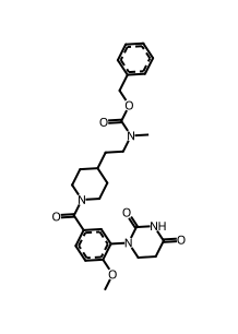 COc1ccc(C(=O)N2CCC(CCN(C)C(=O)OCc3ccccc3)CC2)cc1N1CCC(=O)NC1=O